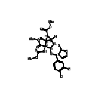 CC(C)(C)OC(=O)N[C@]1(C(=O)OC(C)(C)C)[C@@H]2[C@@H](C(=O)OC(C)(C)C)[C@@H]2[C@H](Sc2nccs2)[C@H]1OCc1ccc(Cl)c(Cl)c1